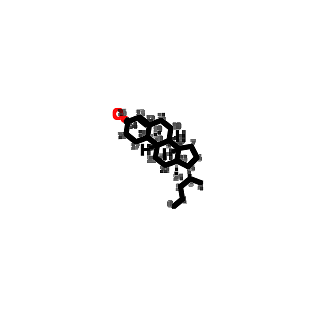 CCCC(C)[C@H]1CC[C@H]2[C@@H]3CCC4=CC(=O)CC[C@]4(C)[C@H]3CC[C@]12C